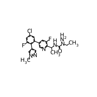 CCN(N)C(=O)NC(C)c1ncc(-c2cc(Cl)cc(F)c2-c2cnn(C)c2)cc1F